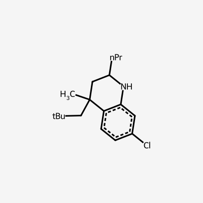 CCCC1CC(C)(CC(C)(C)C)c2ccc(Cl)cc2N1